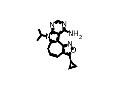 CC(C)n1c2c(c3c(N)ncnc31)-c1noc(C3CC3)c1C=CC2